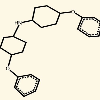 c1ccc(OC2CCC(NC3CCC(Oc4ccccc4)CC3)CC2)cc1